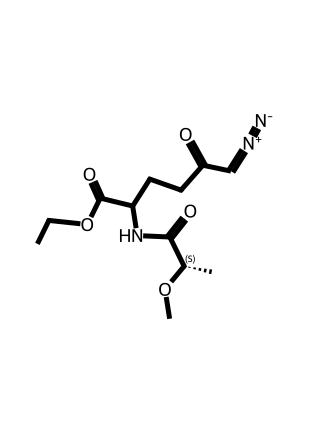 CCOC(=O)C(CCC(=O)C=[N+]=[N-])NC(=O)[C@H](C)OC